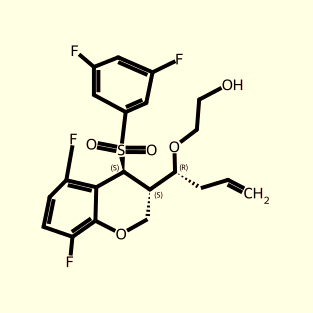 C=CC[C@@H](OCCO)[C@@H]1COc2c(F)ccc(F)c2[C@H]1S(=O)(=O)c1cc(F)cc(F)c1